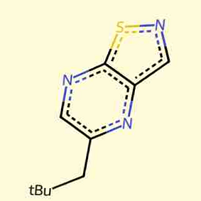 CC(C)(C)Cc1cnc2sncc2n1